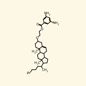 CC(C)CCCC(C)C1CCC2C3CC=C4CC(OCCOC(=O)c5cc(N)cc(N)c5)CCC4(C)C3CCC12C